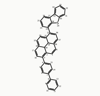 C1=CC2=C(c3ccc(-c4ccccc4)cc3)C=CC3=CC=C4C(c5cccc6c5sc5ccccc56)=CC=C1C4C32